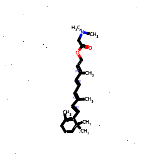 CC1=C(/C=C/C(C)=C/C=C/C(C)=C/COC(=O)CN(C)C)C(C)(C)CCC1